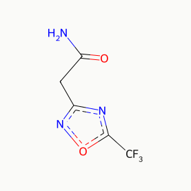 NC(=O)Cc1noc(C(F)(F)F)n1